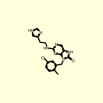 Cc1ccc(Cl)cc1Cn1c(=O)[nH]c2cnc(NCCc3c[nH]cn3)nc21